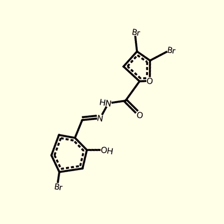 O=C(NN=Cc1ccc(Br)cc1O)c1cc(Br)c(Br)o1